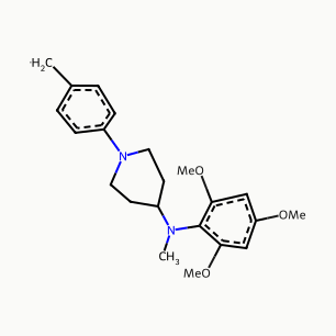 [CH2]c1ccc(N2CCC(N(C)c3c(OC)cc(OC)cc3OC)CC2)cc1